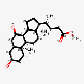 COC(=O)CC[C@@H](C)C1CCC2C3C(=O)CC4C[C@H](O)CC[C@]4(C)C3CC[C@@]21C